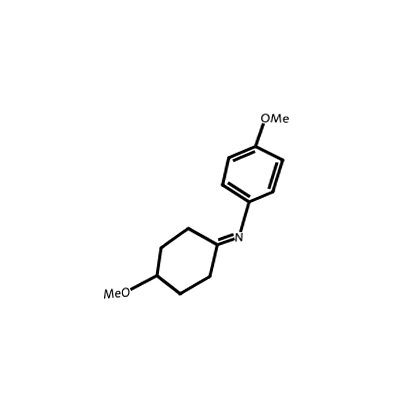 COc1ccc(N=C2CCC(OC)CC2)cc1